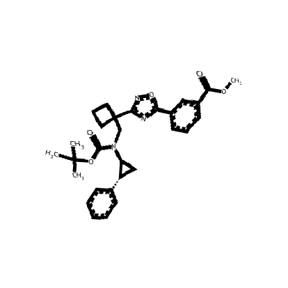 COC(=O)c1cccc(-c2nc(C3(CN(C(=O)OC(C)(C)C)C4C[C@@H]4c4ccccc4)CCC3)no2)c1